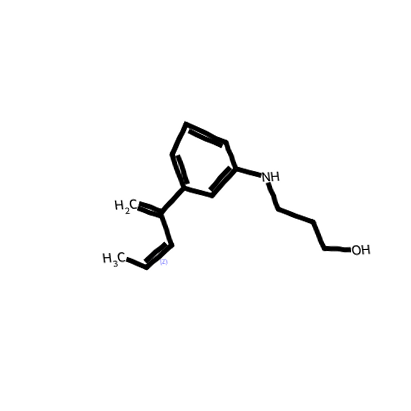 C=C(/C=C\C)c1cccc(NCCCO)c1